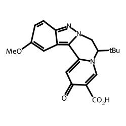 COc1ccc2nn3c(c2c1)-c1cc(=O)c(C(=O)O)cn1C(C(C)(C)C)C3